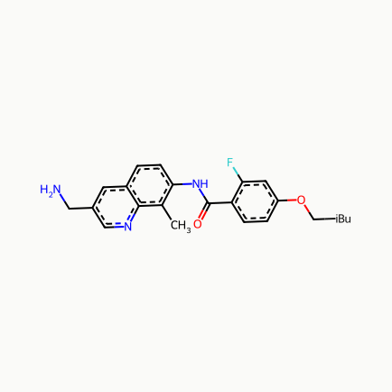 CCC(C)COc1ccc(C(=O)Nc2ccc3cc(CN)cnc3c2C)c(F)c1